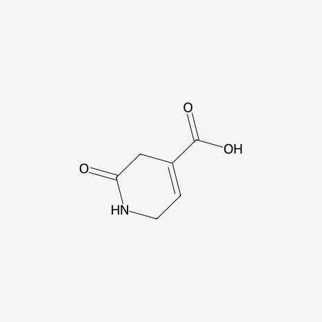 O=C1CC(C(=O)O)=CCN1